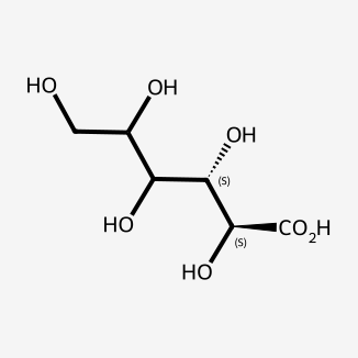 O=C(O)[C@@H](O)[C@@H](O)C(O)C(O)CO